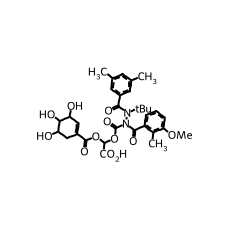 COc1cccc(C(=O)N(C(=O)OC(OC(=O)C2=CC(O)C(O)C(O)C2)C(=O)O)N(C(=O)c2cc(C)cc(C)c2)C(C)(C)C)c1C